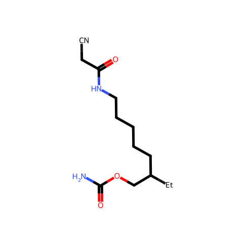 CCC(CCCCCNC(=O)CC#N)COC(N)=O